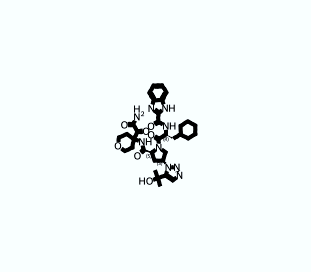 CC(C)(O)c1cnnn1[C@H]1C[C@@H](C(=O)NC2(C(=O)C(N)=O)CCOCC2)N(C(=O)[C@@H](CC2CCCCC2)NC(=O)c2nc3ccccc3[nH]2)C1